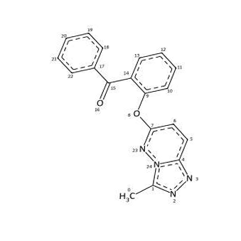 Cc1nnc2ccc(Oc3ccccc3C(=O)c3ccccc3)nn12